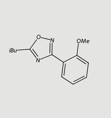 CCC(C)c1nc(-c2ccccc2OC)no1